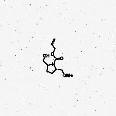 C=CCOC(=O)N1C(CO)CCC1COC